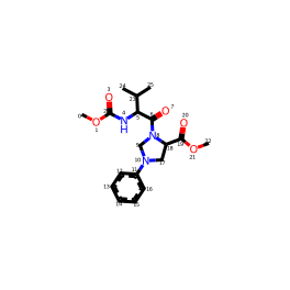 COC(=O)NC(C(=O)N1CN(c2ccccc2)CC1C(=O)OC)C(C)C